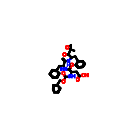 C=C(NC(Cc1ccccc1)C(=O)C1(C)CO1)[C@H](Cc1ccccc1)NC(=O)C(CC(=O)O)NC(=O)OCc1ccccc1